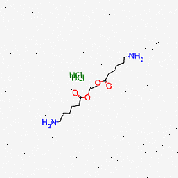 Cl.Cl.NCCCCCC(=O)OCCOC(=O)CCCCCN